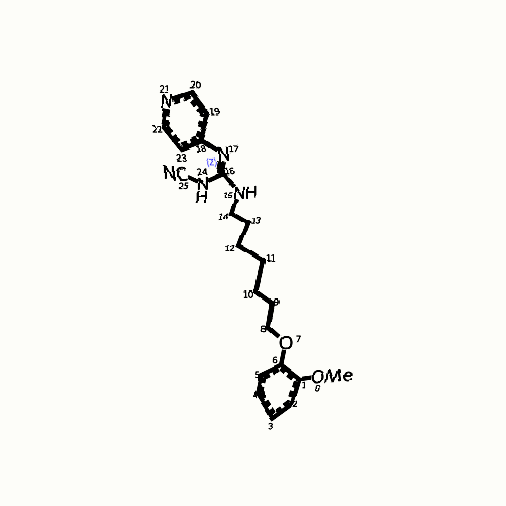 COc1ccccc1OCCCCCCCN/C(=N/c1ccncc1)NC#N